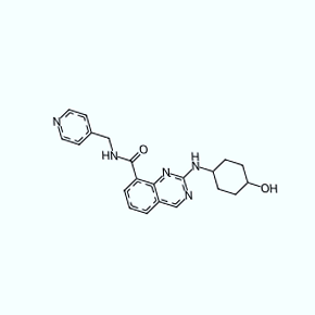 O=C(NCc1ccncc1)c1cccc2cnc(NC3CCC(O)CC3)nc12